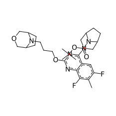 Cc1c(F)cc2c(N3CC4CCC(C3)N4C(=O)OC(C)(C)C)nc(OCCCN3C4CCC3COC4)nc2c1F